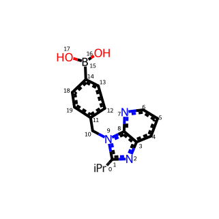 CC(C)c1nc2cccnc2n1Cc1ccc(B(O)O)cc1